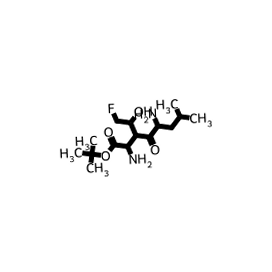 CC(C)CC(N)C(=O)C(C(O)CF)C(N)C(=O)OC(C)(C)C